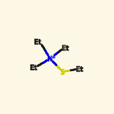 CCS[N+](CC)(CC)CC